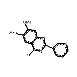 COc1cc2nc(-c3cccnc3)nc(Cl)c2cc1OC